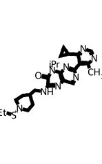 CCSN1CCC(CNc2nc3cnc(-c4c(C)ncnc4C4CC4)nc3n(C(C)C)c2=O)CC1